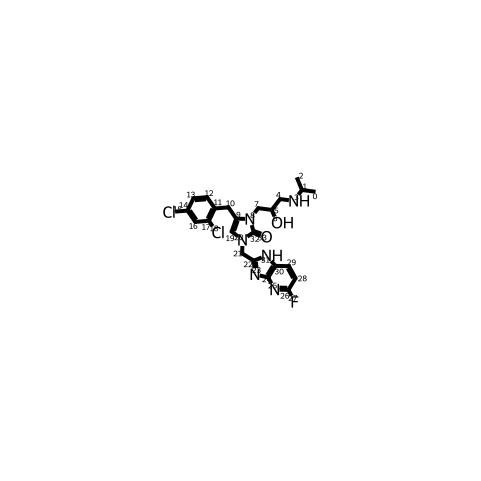 CC(C)NCC(O)Cn1c(Cc2ccc(Cl)cc2Cl)cn(Cc2nc3nc(F)ccc3[nH]2)c1=O